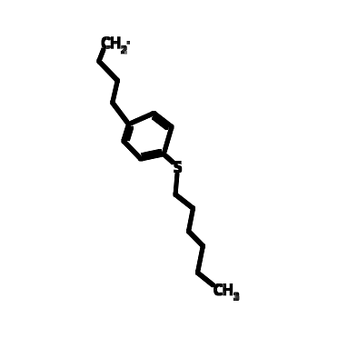 [CH2]CCCc1ccc(SCCCCCC)cc1